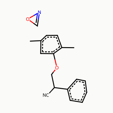 C1=NO1.Cc1ccc(C)c(OCC(C#N)c2ccccc2)c1